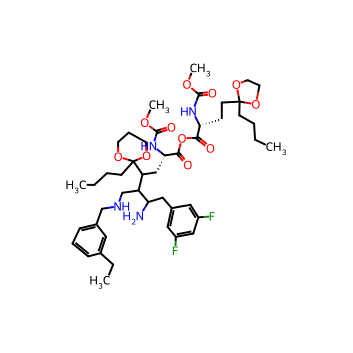 CCCCC1(CC[C@@H](NC(=O)OC)C(=O)OC(=O)[C@H](CC(C(CNCc2cccc(CC)c2)C(N)Cc2cc(F)cc(F)c2)C2(CCCC)OCCCO2)NC(=O)OC)OCCO1